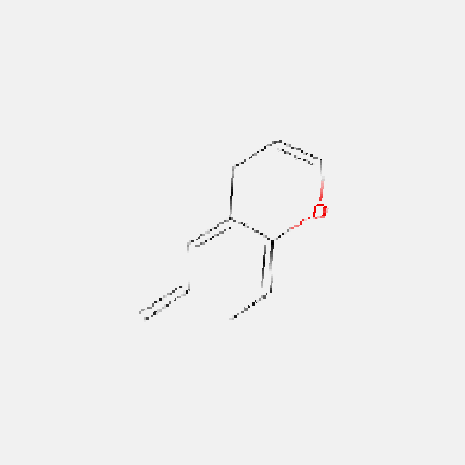 C=C/C=C1/CC=CO/C1=C/C